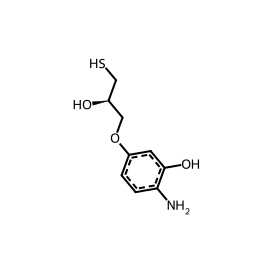 Nc1ccc(OC[C@@H](O)CS)cc1O